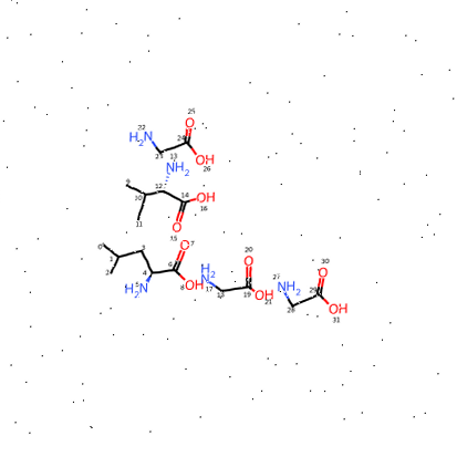 CC(C)C[C@H](N)C(=O)O.CC(C)[C@H](N)C(=O)O.NCC(=O)O.NCC(=O)O.NCC(=O)O